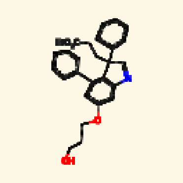 CCOC(=O)CCC1(c2ccccc2)C=Nc2cc(OCCCO)cc(-c3ccccc3)c21